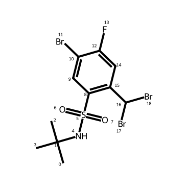 CC(C)(C)NS(=O)(=O)c1cc(Br)c(F)cc1C(Br)Br